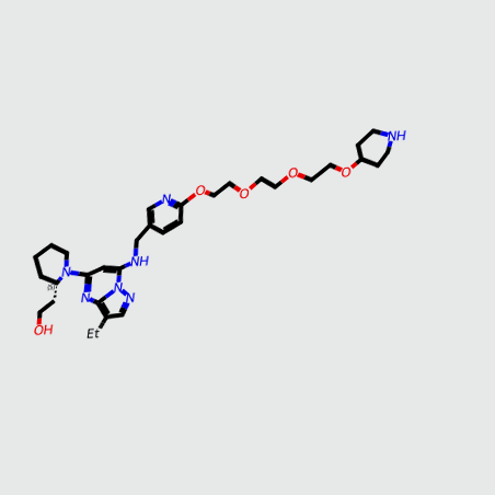 CCc1cnn2c(NCc3ccc(OCCOCCOCCOC4CCNCC4)nc3)cc(N3CCCC[C@H]3CCO)nc12